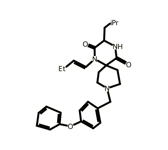 CCC=CN1C(=O)C(CC(C)C)NC(=O)C12CCN(Cc1ccc(Oc3ccccc3)cc1)CC2